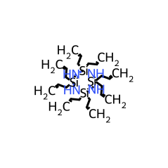 C=CC[Si]1(CC=C)N[Si](CC=C)(CC=C)N[Si](CC=C)(CC=C)N[Si](CC=C)(CC=C)N1